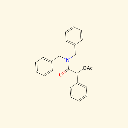 CC(=O)OC(C(=O)N(Cc1ccccc1)Cc1ccccc1)c1ccccc1